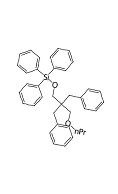 CCCOCC(CO[Si](c1ccccc1)(c1ccccc1)c1ccccc1)(Cc1ccccc1)Cc1ccccc1